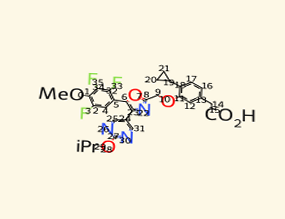 COc1c(F)cc(-c2oc(COc3cc(CC(=O)O)ccc3C3CC3)nc2-c2cnc(OC(C)C)nc2)c(F)c1F